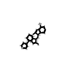 CC1=Cc2c(Br)cccc2C1CC1C(C)=Cc2c(-c3ccncc3)cccc21